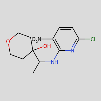 CC(Nc1nc(Cl)ccc1[N+](=O)[O-])C1(O)CCOCC1